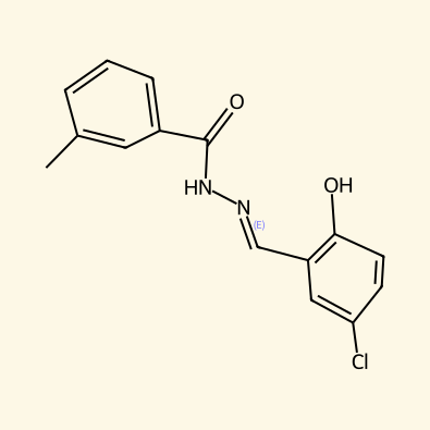 Cc1cccc(C(=O)N/N=C/c2cc(Cl)ccc2O)c1